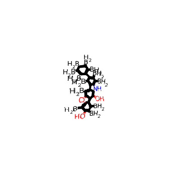 Bc1c(B)c(B)c(-c2c(B)c(B)c3[nH]c4c(O)c5c(oc6c(B)c(O)c(B)c(B)c65)c(B)c4c3c2B)c(B)c1B